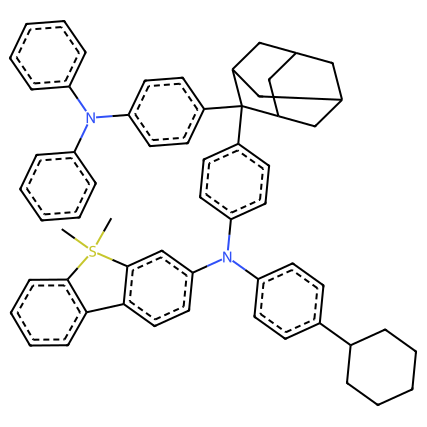 CS1(C)c2ccccc2-c2ccc(N(c3ccc(C4CCCCC4)cc3)c3ccc(C4(c5ccc(N(c6ccccc6)c6ccccc6)cc5)C5CC6CC(C5)CC4C6)cc3)cc21